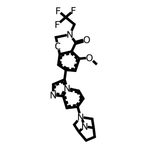 COc1cc(-c2cnc3cc(N4CC5CCC(C4)N5C)ccn23)cc2c1C(=O)N(CC(F)(F)F)CC2